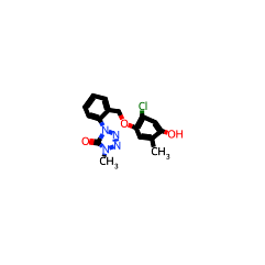 Cc1cc(OCc2ccccc2-n2nnn(C)c2=O)c(Cl)cc1O